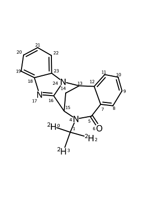 [2H]C([2H])([2H])N1C(=O)c2ccccc2C2CC1c1nc3ccccc3n12